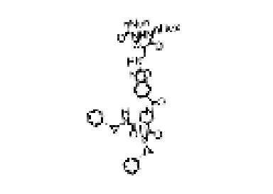 CCCCCCCCCC(=O)NOC(CNc1nc2ccc(C(=O)N3C[C@@H](C(=O)N[C@H]4C[C@@H]4c4ccccc4)[C@H](C(=O)N[C@H]4C[C@@H]4c4ccccc4)C3)cc2o1)C(=O)NCCCCCC